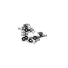 COc1cc(Nc2cc(Oc3ccc(NC(=O)Nc4cc(C(C)(C)C)cc(NS(C)(=O)=O)c4OC)c4ccccc34)ccn2)ccc1C(=O)NCC(CO)(CO)CO